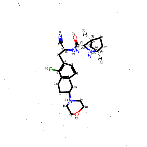 N#C[C@H](Cc1ccc2c(c1F)CCC(N1CCOCC1)C2)NC(=O)[C@H]1N[C@@H]2CC[C@H]1C2